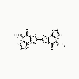 Cn1c(=O)c2cc(-c3cc4c(=O)n(C)c5ccsc5c4s3)sc2c2sccc21